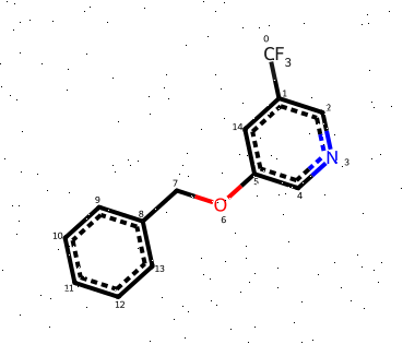 FC(F)(F)c1cncc(OCc2ccccc2)c1